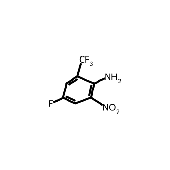 Nc1c([N+](=O)[O-])cc(F)cc1C(F)(F)F